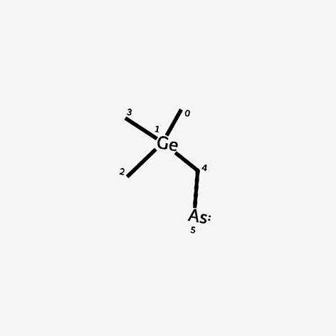 [CH3][Ge]([CH3])([CH3])[CH2][As]